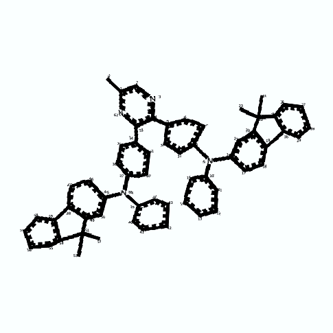 Cc1cnc(-c2ccc(N(c3ccccc3)c3ccc4c(c3)C(C)(C)c3ccccc3-4)cc2)c(-c2ccc(N(c3ccccc3)c3ccc4c(c3)C(C)(C)c3ccccc3-4)cc2)n1